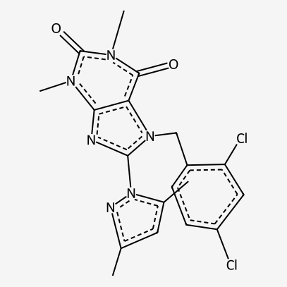 Cc1cc(C)n(-c2nc3c(c(=O)n(C)c(=O)n3C)n2Cc2ccc(Cl)cc2Cl)n1